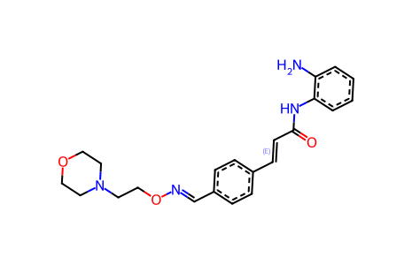 Nc1ccccc1NC(=O)/C=C/c1ccc(C=NOCCN2CCOCC2)cc1